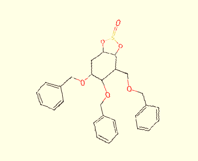 O=S1OC2CC(OCc3ccccc3)C(OCc3ccccc3)C(COCc3ccccc3)C2O1